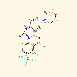 Cc1nc(N[C@H](C)c2cccc(C(F)(F)F)c2C)c2cc(N3CCCOC3)ncc2n1